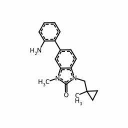 Cn1c(=O)n(CC2(C)CC2)c2ccc(-c3ccccc3N)cc21